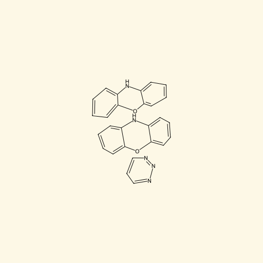 c1ccc2c(c1)Nc1ccccc1O2.c1ccc2c(c1)Nc1ccccc1O2.c1cnnnc1